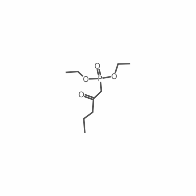 CCCC(=O)CP(=O)(OCC)OCC